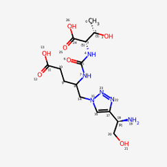 C[C@H](O)[C@H](NC(=O)NC(CCC(=O)O)Cn1cc([C@@H](N)CO)nn1)C(=O)O